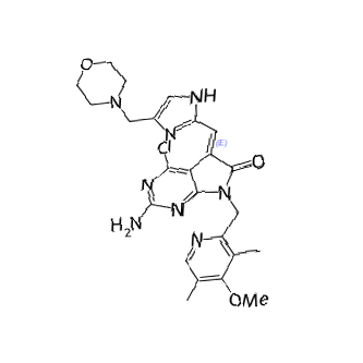 COc1c(C)cnc(CN2C(=O)/C(=C/c3nc(CN4CCOCC4)c[nH]3)c3c(Cl)nc(N)nc32)c1C